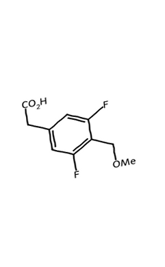 COCc1c(F)cc(CC(=O)O)cc1F